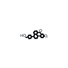 COc1ccc2c(c1)C(=O)c1cccc3c(-c4ccc(CO)cc4)ccc-2c13